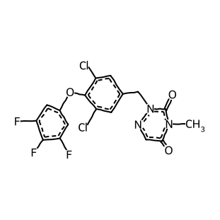 Cn1c(=O)cnn(Cc2cc(Cl)c(Oc3cc(F)c(F)c(F)c3)c(Cl)c2)c1=O